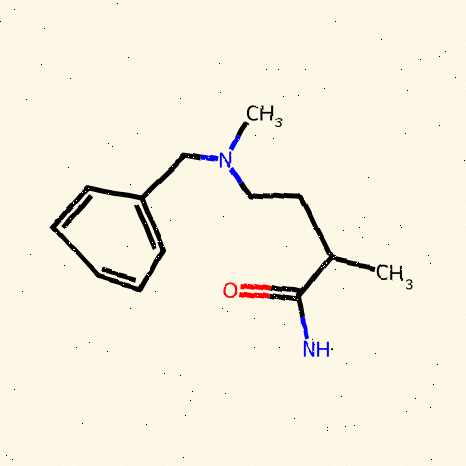 CC(CCN(C)Cc1ccccc1)C([NH])=O